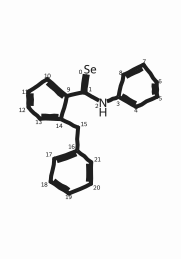 [Se]=C(Nc1ccccc1)c1ccccc1Cc1ccccc1